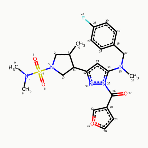 CC1CN(S(=O)(=O)N(C)C)CC1c1cc(N(C)Cc2ccc(F)cc2)n(C(=O)c2ccoc2)n1